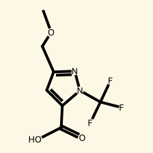 COCc1cc(C(=O)O)n(C(F)(F)F)n1